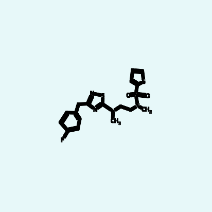 CN(CCN(C)S(=O)(=O)c1cccs1)c1nc(Cc2ccc(F)cc2)ns1